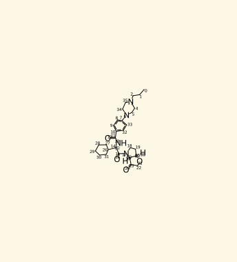 CCCN1CCN(c2ccc(C(=O)N[C@H](C(=O)N3CC[C@H]4OCC(=O)[C@H]43)C3CCCCC3)cc2)CC1